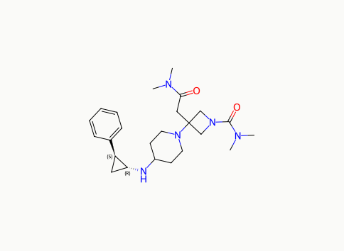 CN(C)C(=O)CC1(N2CCC(N[C@@H]3C[C@H]3c3ccccc3)CC2)CN(C(=O)N(C)C)C1